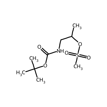 CC(CNC(=O)OC(C)(C)C)OS(C)(=O)=O